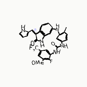 COc1cc(C(F)(F)F)cc(NC(=O)Nc2ccc(C)c(Nc3ccc4c(c3)NC(=O)/C4=C\c3ccc[nH]3)c2)c1F